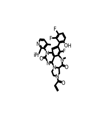 C=CC(=O)N1CCN2c3nc(=O)n(-c4c(C)ccnc4C(C)C)c4cc(-c5c(O)ccc(F)c5F)c(F)c(c34)N(C)C(=O)C2C1